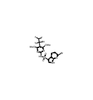 [2H]C([2H])(c1c(OC)nc(NS(=O)(=O)c2c[nH]c3nc(Br)ccc23)nc1OC)C(F)F